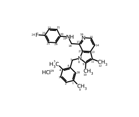 Cc1ccc(C)c(Cn2c(C)c(C)c3ccnc(CNc4ccc(F)cc4)c32)c1.Cl